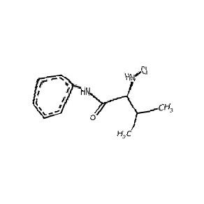 CC(C)[C@H](NCl)C(=O)Nc1ccccc1